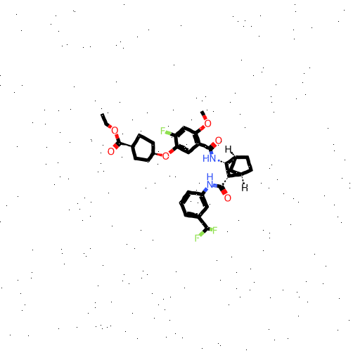 CCOC(=O)[C@H]1CC[C@@H](Oc2cc(C(=O)N[C@@H]3[C@H]4CC[C@H](C4)[C@@H]3C(=O)Nc3cccc(C(F)F)c3)c(OC)cc2F)CC1